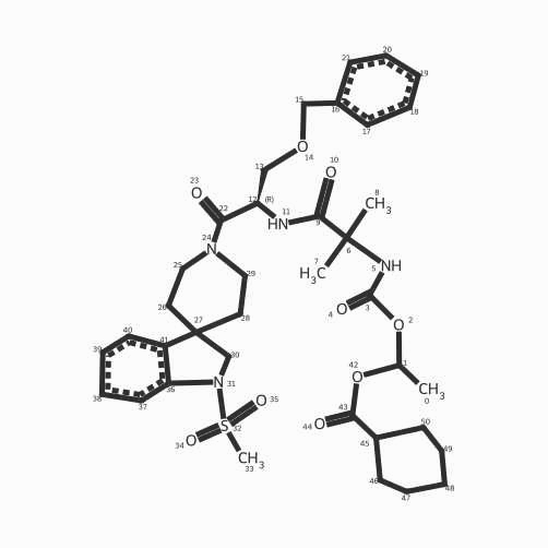 CC(OC(=O)NC(C)(C)C(=O)N[C@H](COCc1ccccc1)C(=O)N1CCC2(CC1)CN(S(C)(=O)=O)c1ccccc12)OC(=O)C1CCCCC1